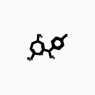 CC1CN=C(N)NC(N(C)c2ccc(Cl)cc2)=N1